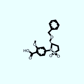 COc1cc(N2[C@H](COCc3ccccc3)CCS2(=O)=O)ccc1C(=O)O